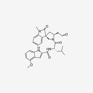 COc1cccc2[nH]c(C(=O)N[C@@H](CC(C)C)C(=O)N3C[C@]4(C[C@H]3CC=O)C(=O)N(C)c3ccccc34)cc12